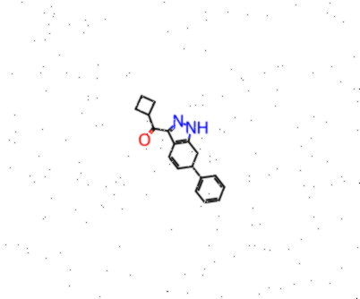 O=C(c1n[nH]c2c1C=CC(c1ccccc1)C2)C1CCC1